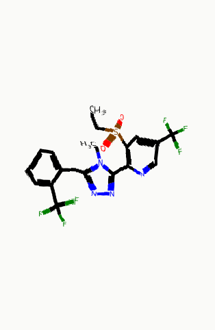 CCS(=O)(=O)c1cc(C(F)(F)F)cnc1-c1nnc(-c2ccccc2C(F)(F)F)n1C